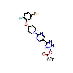 CCCC(=O)On1nnc(-c2cnc(N3CCC(Oc4cc(Br)ccc4F)CC3)nc2)n1